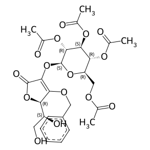 CC(=O)OC[C@H]1O[C@@H](OC2=C(OCc3ccccc3)[C@@H]([C@@H](O)CO)OC2=O)[C@H](OC(C)=O)[C@@H](OC(C)=O)[C@@H]1OC(C)=O